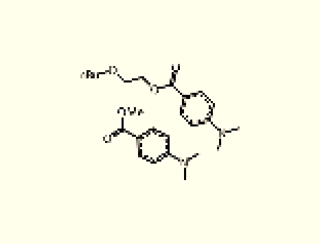 CCCCOCCOC(=O)c1ccc(N(C)C)cc1.COC(=O)c1ccc(N(C)C)cc1